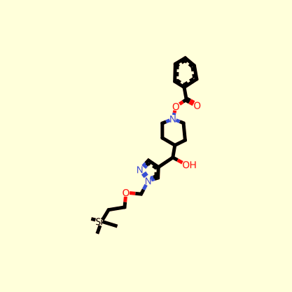 C[Si](C)(C)CCOCn1cc(C(O)C2CCN(OC(=O)c3ccccc3)CC2)cn1